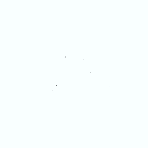 C#Cc1cccc2cc(O)cc(N3CCC4=C(C3)NC(OC[C@@]35CCCN3C[C@H](F)C5)C=C4N3CC4CCC(C3)N4)c12